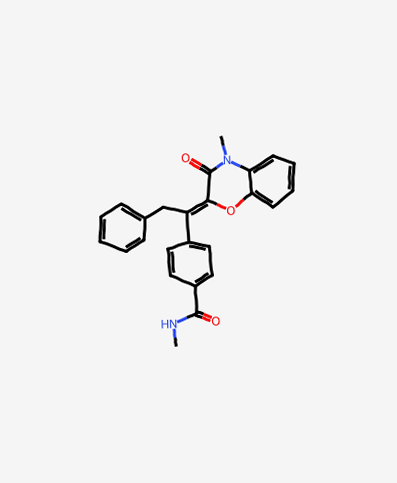 CNC(=O)c1ccc(/C(Cc2ccccc2)=C2\Oc3ccccc3N(C)C2=O)cc1